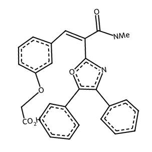 CNC(=O)C(=Cc1cccc(OCC(=O)O)c1)c1nc(-c2ccccc2)c(-c2ccccc2)o1